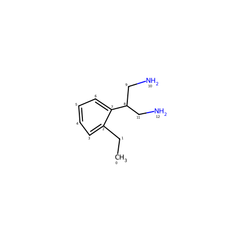 CCc1ccccc1C(CN)CN